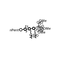 C=C(C)C(=O)OCCCc1cc(-c2cc(CC)c(-c3ccc(C4CCC(CCCCC)CC4)cc3F)cc2CCCOC(=O)C(=C)C)ccc1OCC(COC(=O)C(=O)OC)(COC(=O)C(=O)OC)COC(=O)C(=O)OC